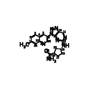 Cc1ccc2cc(-n3nnc4cnc(N[C@@H]5CCC(C(N)=O)C5)nc43)cnc2c1